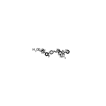 COCc1nc(-c2ccc(F)c(N3CCN(CCn4ncc5c4nc(N)n4nc(-c6ccccn6)nc54)CC3)c2)no1